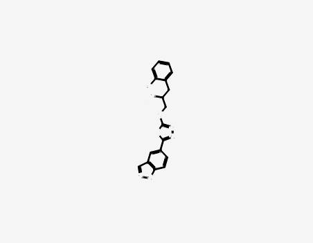 NC(CNc1nnc(-c2ccc3[nH]ncc3c2)s1)Cc1ccccc1Br